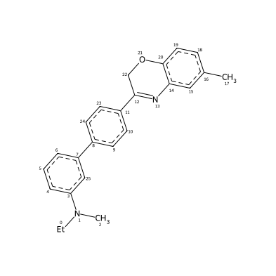 CCN(C)c1cccc(-c2ccc(C3=Nc4cc(C)ccc4OC3)cc2)c1